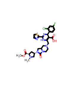 COC(=O)[C@H]1C[C@H](N2CC3CN(CC4=C(C(=O)O)C(c5ccc(F)cc5Cl)N=C(c5nccs5)N4)CCN3C2=O)CN1C